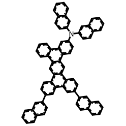 c1ccc2cc(-c3ccc4c(c3)c3cc(-c5ccc6ccccc6c5)ccc3c3cc5c6ccc(N(c7ccc8ccccc8c7)c7ccc8ccccc8c7)cc6c6ccccc6c5cc43)ccc2c1